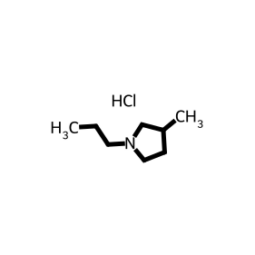 CCCN1CCC(C)C1.Cl